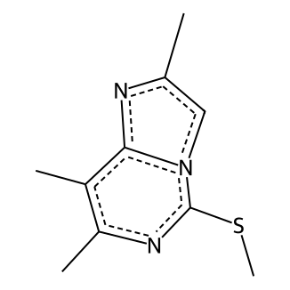 CSc1nc(C)c(C)c2nc(C)cn12